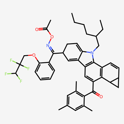 CCCCC(CC)Cn1c2c(c3cc(C(=O)c4c(C)cc(C)cc4C)c4c(c31)C=CC1CC41)=CC(/C(=N\OC(C)=O)c1ccccc1OCC(F)(F)C(F)F)CC=2